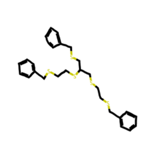 c1ccc(CSCCSCC(CSCc2ccccc2)SCCSCc2ccccc2)cc1